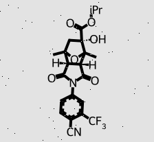 CC(C)OC(=O)[C@]1(O)CC2(C)OC1(C)[C@@H]1C(=O)N(c3ccc(C#N)c(C(F)(F)F)c3)C(=O)[C@@H]12